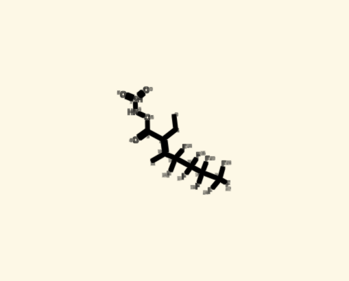 CCC(C(=O)ON[SH](=O)=O)=C(C)C(F)(F)C(F)(F)C(F)(F)C(F)(F)F